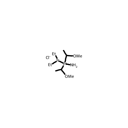 CCN(CC)[P+](N)(C(C)OC)C(C)OC.[Cl-]